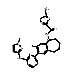 Cn1ccc(Nc2ncnc(-c3cc4c(cc3F)[C@@H](NC(=O)c3noc(C(C)(C)C)n3)CCCC4)n2)n1